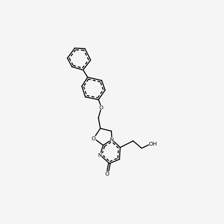 O=c1cc(CCO)n2c(n1)OC(COc1ccc(-c3ccccc3)cc1)C2